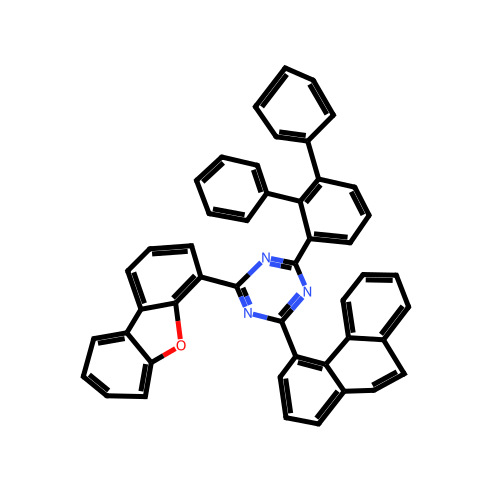 c1ccc(-c2cccc(-c3nc(-c4cccc5c4oc4ccccc45)nc(-c4cccc5ccc6ccccc6c45)n3)c2-c2ccccc2)cc1